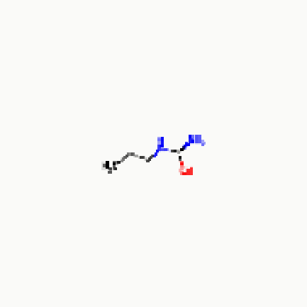 CCCN[C@@H](N)O